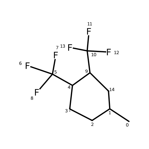 CC1C[CH]C(C(F)(F)F)C(C(F)(F)F)C1